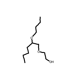 CCCCOC(CCCC)COCCO